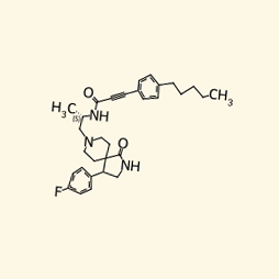 CCCCCc1ccc(C#CC(=O)N[C@@H](C)CN2CCC3(CC2)C(=O)NCC3c2ccc(F)cc2)cc1